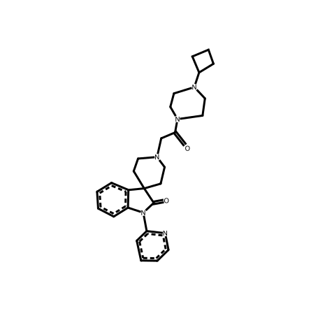 O=C(CN1CCC2(CC1)C(=O)N(c1ccccn1)c1ccccc12)N1CCN(C2CCC2)CC1